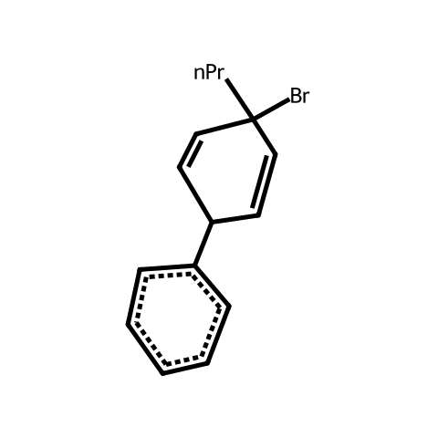 CCCC1(Br)C=CC(c2ccccc2)C=C1